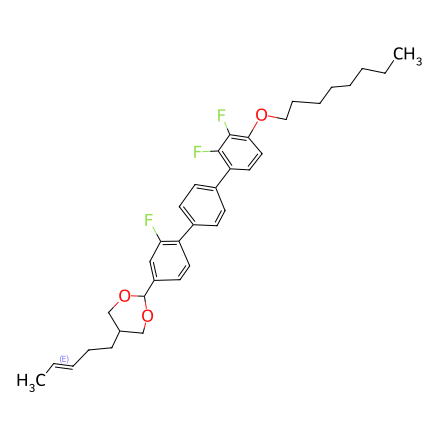 C/C=C/CCC1COC(c2ccc(-c3ccc(-c4ccc(OCCCCCCCC)c(F)c4F)cc3)c(F)c2)OC1